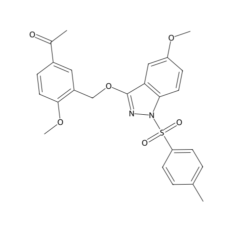 COc1ccc2c(c1)c(OCc1cc(C(C)=O)ccc1OC)nn2S(=O)(=O)c1ccc(C)cc1